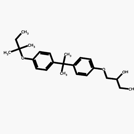 CCC(O)COc1ccc(C(C)(C)c2ccc(OC(C)(C)CC)cc2)cc1